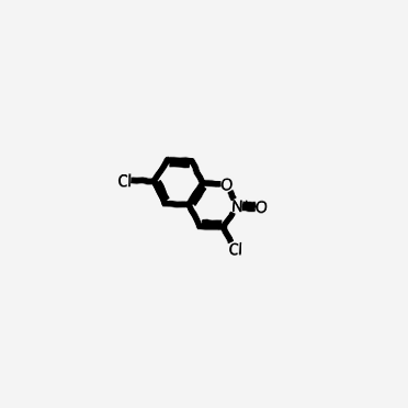 O=[n+]1oc2ccc(Cl)cc2cc1Cl